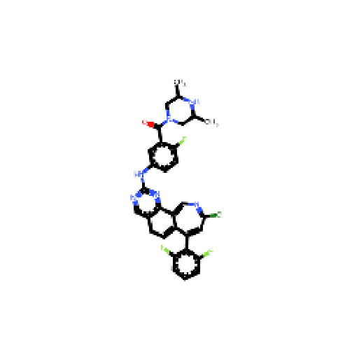 CC1CN(C(=O)c2cc(Nc3ncc4c(n3)C3=CN=C(Cl)C=C(c5c(F)cccc5F)C3=CC4)ccc2F)CC(C)N1